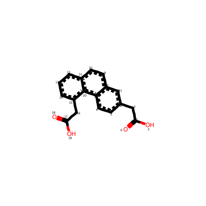 O=C(O)Cc1ccc2c(ccc3cccc(CC(=O)O)c32)c1